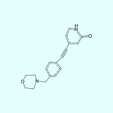 O=c1cc(C#Cc2ccc(CN3CCOCC3)cc2)cc[nH]1